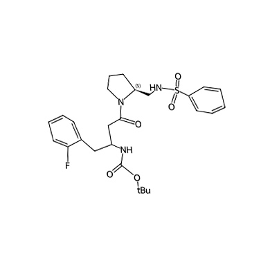 CC(C)(C)OC(=O)NC(CC(=O)N1CCC[C@H]1CNS(=O)(=O)c1ccccc1)Cc1ccccc1F